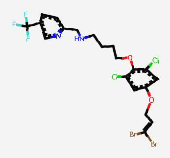 FC(F)(F)c1ccc(CNCCCCOc2c(Cl)cc(OCC=C(Br)Br)cc2Cl)nc1